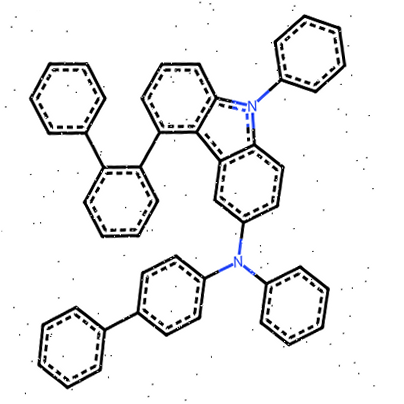 c1ccc(-c2ccc(N(c3ccccc3)c3ccc4c(c3)c3c(-c5ccccc5-c5ccccc5)cccc3n4-c3ccccc3)cc2)cc1